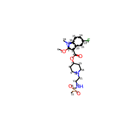 COc1c(C(=O)OC2CCN(CCNS(C)(=O)=O)CC2)c2cc(F)ccc2n1C